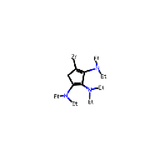 CCN(CC)C1=C(N(CC)CC)C(N(CC)CC)=[C]([Zr])C1